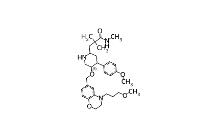 CNC(=O)C(C)(C)CC1CC(c2ccc(OC)cc2)[C@@H](OCc2ccc3c(c2)N(CCCOC)CCO3)CN1